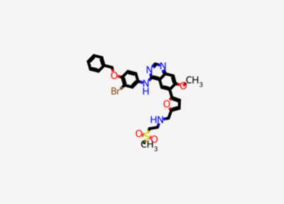 COc1cc2ncnc(Nc3ccc(OCc4ccccc4)c(Br)c3)c2cc1-c1ccc(CNCCS(C)(=O)=O)o1